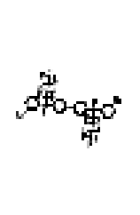 FC(F)(F)C(F)(F)C(F)(F)C(F)(F)C(F)(c1ccc(-c2ccc(C(F)(c3cccc(Br)c3)C(F)(F)C(F)(F)C(F)(F)C(F)(F)F)cc2)cc1)c1cccc(Br)c1